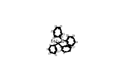 CCC(c1ccccc1)(c1ccccc1)P(c1ccccc1)c1ccccc1